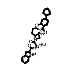 CC(C)(C)[C@H](NC(=O)c1cc2ccccc2[nH]1)C(=O)N1C[C@@H]2C1CCCN2C(=O)c1ccc(-c2ccccc2)cc1Cl